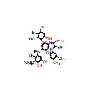 CCCCCCC(=Nc1ccc(C)c(C)c1)C(CCCC)=Nc1ccc(C)c(C)c1.CCCc1cc(O)c(O)c(C(=O)[O-])c1CC.CCCc1cc(O)c(O)c(C(=O)[O-])c1CC.[Ni+2]